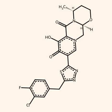 C[C@@H]1CCO[C@H]2Cn3cc(-c4nnc(Cc5ccc(F)c(Cl)c5)s4)c(=O)c(O)c3C(=O)N12